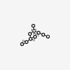 CN1C(c2cccc(-c3cc(-c4ccc5c(c4)oc4ccccc45)cc4oc5ccccc5c34)c2)=NC(c2ccccc2)=NC1c1ccc(-c2ccc(C3=CC=CCC3)cc2)cc1